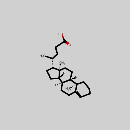 CC(CCC(=O)O)[C@H]1CC[C@H]2[C@@H]3CCC4=CCCC[C@]4(C)[C@H]3CC[C@]12C